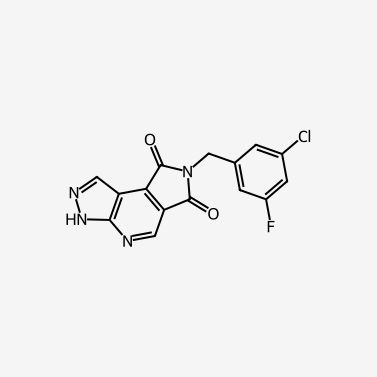 O=C1c2cnc3[nH]ncc3c2C(=O)N1Cc1cc(F)cc(Cl)c1